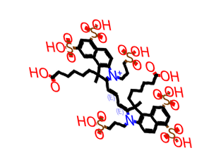 CC1(CCCCCC(=O)O)C(/C=C/C=C2/N(CCCS(=O)(=O)O)c3ccc4c(S(=O)(=O)O)cc(S(=O)(=O)O)cc4c3C2(C)CCCCCC(=O)O)=[N+](CCCS(=O)(=O)O)c2ccc3c(S(=O)(=O)O)cc(S(=O)(=O)O)cc3c21